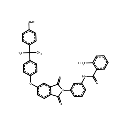 COc1ccc(C(C)(C)c2ccc(Oc3ccc4c(c3)C(=O)N(c3cccc(NC(=O)c5ccccc5C(=O)O)c3)C4=O)cc2)cc1